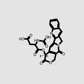 O=C(O)CC(NC(=O)O)C(=O)O[C@]1(I)C(=O)OCc2c1cc1n(c2=O)Cc2cc3ccccc3nc2-1